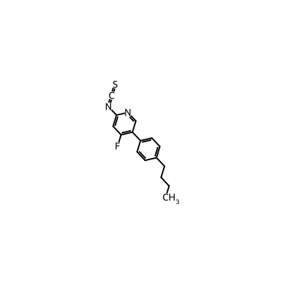 CCCCc1ccc(-c2cnc(N=C=S)cc2F)cc1